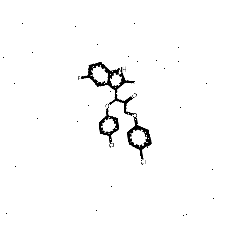 Cc1[nH]c2ccc(F)cc2c1C(Oc1ccc(Cl)cc1)C(=O)COc1ccc(Cl)cc1